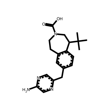 CC(C)(C)C1CN(C(=O)O)CCc2cc(Cc3cnc(N)cn3)ccc21